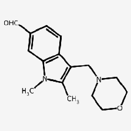 Cc1c(CN2CCOCC2)c2ccc(C=O)cc2n1C